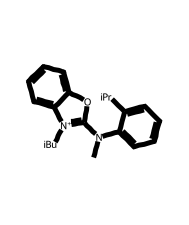 CCC(C)[n+]1c(N(C)c2ccccc2C(C)C)oc2ccccc21